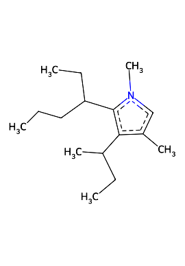 CCCC(CC)c1c(C(C)CC)c(C)cn1C